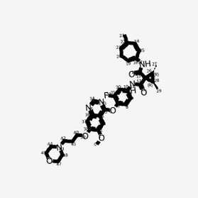 COc1cc2c(Oc3ccc(NC(=O)C4(C(=O)NC5=CCC=C(C)C=C5)[C@H](C)[C@H]4C)cc3F)ncnc2cc1OCCCN1CCOCC1